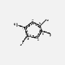 Cc1cc(I)c(I)cc1C